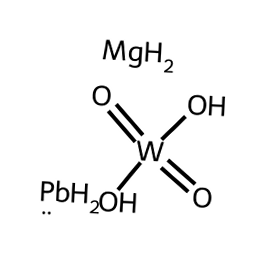 [MgH2].[O]=[W](=[O])([OH])[OH].[PbH2]